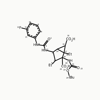 CCC1C(NC(=O)Nc2cccc(F)c2)C2C(C(=O)O)C2(CC)C1(NC(=O)OC(C)(C)C)C(=O)O